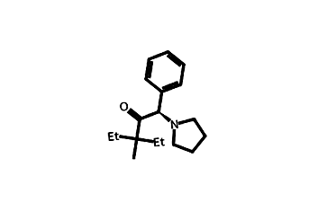 CCC(C)(CC)C(=O)[C@@H](c1ccccc1)N1CCCC1